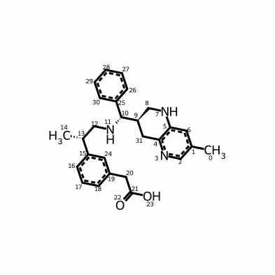 Cc1cnc2c(c1)NC[C@H]([C@H](NC[C@@H](C)c1cccc(CC(=O)O)c1)c1ccccc1)C2